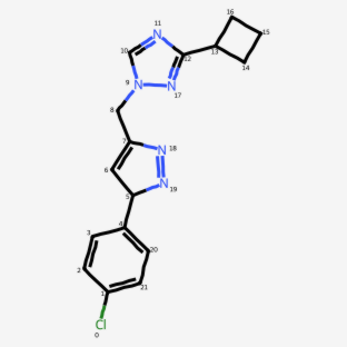 Clc1ccc(C2C=C(Cn3cnc(C4CCC4)n3)N=N2)cc1